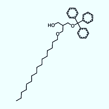 CCCCCCCCCCCCCCCCOCC(CO)COC(c1ccccc1)(c1ccccc1)c1ccccc1